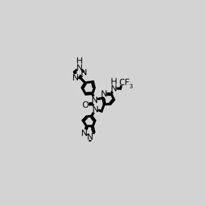 Cn1cc2cc(N3Cc4ccc(NCC(F)(F)F)nc4N(c4ccc(-c5nc[nH]n5)cc4)C3=O)ccc2n1